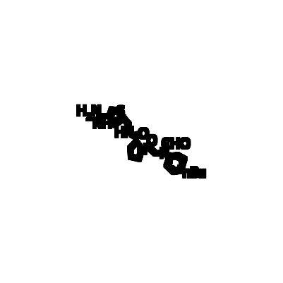 CCCCc1ccc(N(C=O)CC(=O)N2CCC[C@H]2C(=O)NCc2cc(C(=N)N)cs2)cc1